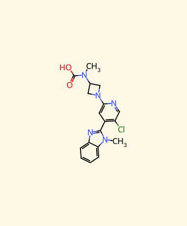 CN(C(=O)O)C1CN(c2cc(-c3nc4ccccc4n3C)c(Cl)cn2)C1